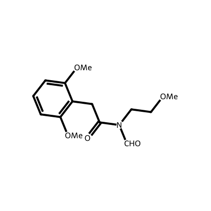 COCCN(C=O)C(=O)Cc1c(OC)cccc1OC